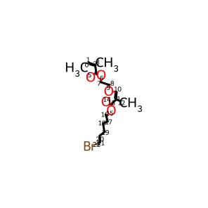 CC=C(C)C(=O)OCCOC=C(C)C(=O)OCCCCCCBr